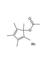 CC(=O)OC1(C)C(C)=C(C)C(C)=C1C.[Rh]